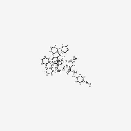 CC(C)(SC(c1ccccc1)(c1ccccc1)c1ccccc1)C(C(=O)N1C[C@H](O)C[C@H]1C(=O)NCc1ccc(C#N)cc1)N(CC1c2ccccc2-c2ccccc21)C(=O)O